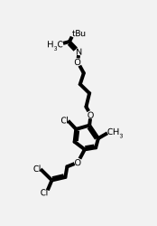 C/C(=N\OCCCCOc1c(C)cc(OCC=C(Cl)Cl)cc1Cl)C(C)(C)C